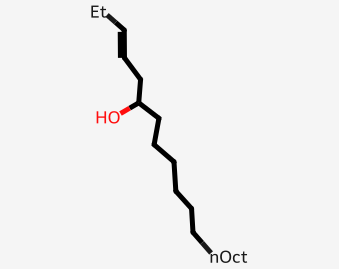 CCC=CCC(O)CCCCCCCCCCCCCC